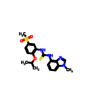 CC(C)Oc1ccc(S(C)(=O)=O)cc1NC(=S)Nc1cccc2c1ncn2C